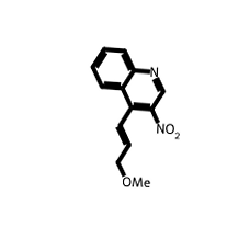 COC/C=C/c1c([N+](=O)[O-])cnc2ccccc12